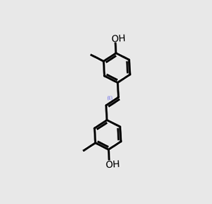 Cc1cc(/C=C/c2ccc(O)c(C)c2)ccc1O